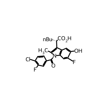 CCCC[C@H](C(=O)O)c1c(C)n(C(=O)c2ccc(Cl)c(F)c2)c2cc(F)c(O)cc12